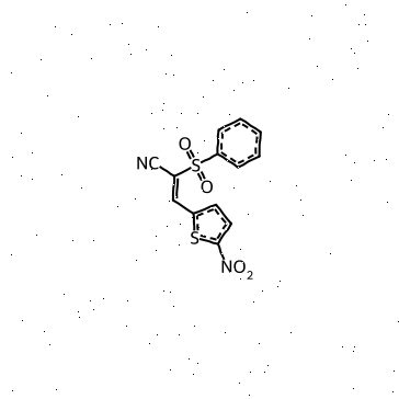 N#C/C(=C/c1ccc([N+](=O)[O-])s1)S(=O)(=O)c1ccccc1